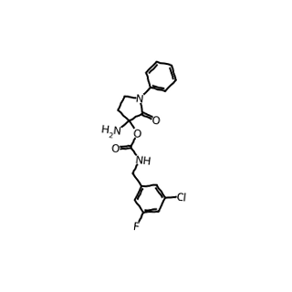 NC1(OC(=O)NCc2cc(F)cc(Cl)c2)CCN(c2ccccc2)C1=O